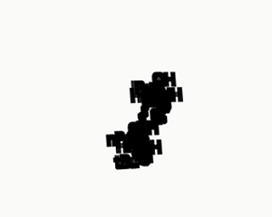 CCCC(=O)NC(c1cccc(C(=O)NCCCCCCCC(=O)N[C@H](C(=O)N2C[C@H](O)C[C@H]2C(=O)N[C@@H](C)c2ccc(-c3scnc3C)cc2)C(C)C)c1)c1cc(C(C)(C)C)c2cccnc2c1O